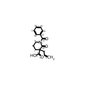 C=CCC1(C(=O)O)CCCN(C(=O)c2ccccc2)C1=O